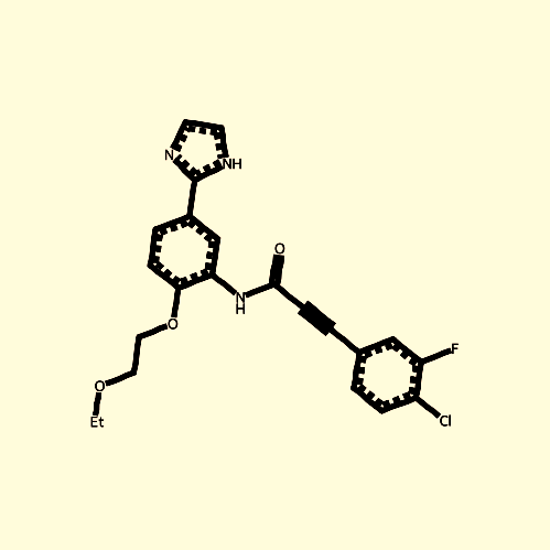 CCOCCOc1ccc(-c2ncc[nH]2)cc1NC(=O)C#Cc1ccc(Cl)c(F)c1